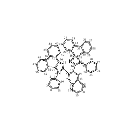 c1ccc(-n2c(-c3cc4nccnc4cc3-c3nc4c5ccccc5c5ccccc5c4n3-c3ccccc3)cc3c4ccccc4c4ccccc4c32)cc1